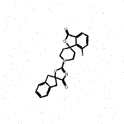 O=C1OC2(CCN(C3=NC(=O)C4(Cc5ccccc5C4)O3)CC2)c2c(F)cccc21